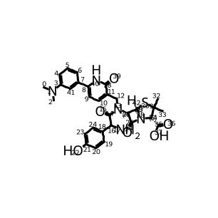 CN(C)c1cccc(-c2ccc(CN(C(=O)C(N)c3ccc(O)cc3)[C@@H]3C(=O)N4[C@@H]3SC(C)(C)[C@@H]4C(=O)O)c(=O)[nH]2)c1